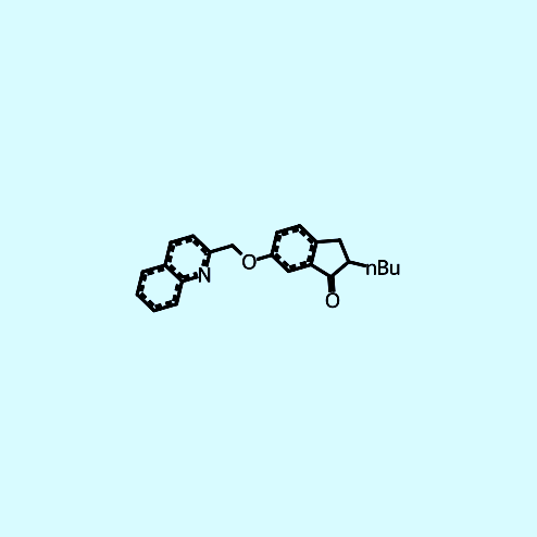 CCCCC1Cc2ccc(OCc3ccc4ccccc4n3)cc2C1=O